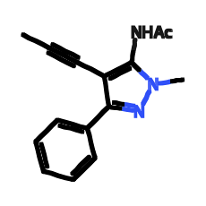 CC#Cc1c(-c2ccccc2)nn(C)c1NC(C)=O